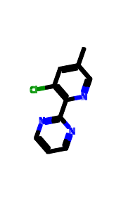 Cc1cnc(-c2ncccn2)c(Cl)c1